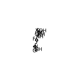 CC(=O)Nc1nc(CCc2ccc(CNC(=O)NN(C(=O)O)C(=O)OC(C)(C)C)c(F)c2)cs1